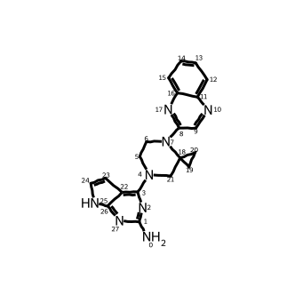 Nc1nc(N2CCN(c3cnc4ccccc4n3)C3(CC3)C2)c2cc[nH]c2n1